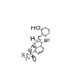 Cc1c(O)cccc1Nc1ccnc2c(S(C)(=O)=O)cccc12